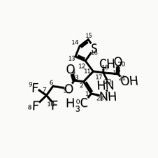 CC1=C(C(=O)OCC(F)(F)F)C(c2cccs2)C(C)(C(=O)O)NN1